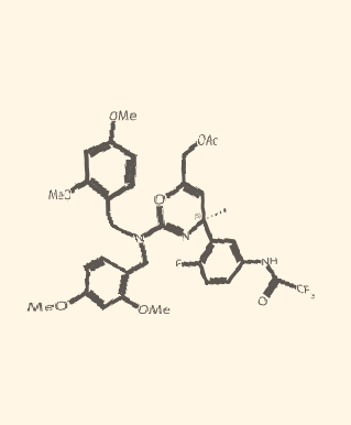 COc1ccc(CN(Cc2ccc(OC)cc2OC)C2=N[C@](C)(c3cc(NC(=O)C(F)(F)F)ccc3F)C=C(COC(C)=O)O2)c(OC)c1